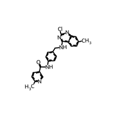 Cc1ccc2c(NCc3ccc(NC(=O)c4ccc(C)nc4)cc3)nc(Cl)nc2c1